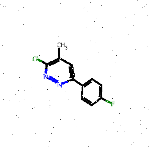 Cc1cc(-c2ccc(F)cc2)nnc1Cl